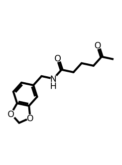 CC(=O)CCCC(=O)NCc1ccc2c(c1)OCO2